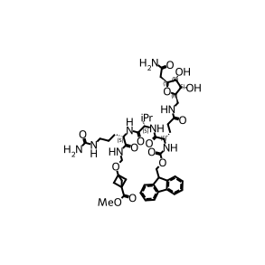 COC(=O)C12CC(OCNC(=O)[C@H](CCCNC(N)=O)NC(=O)[C@@H](NC(=O)[C@H](CCC(=O)NC[C@H]3O[C@@H](CC(N)=O)[C@H](O)[C@@H]3O)NC(=O)OCC3c4ccccc4-c4ccccc43)C(C)C)(C1)C2